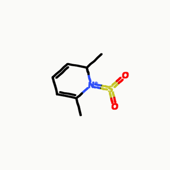 CC1=CC=CC(C)[N+]1=S(=O)=O